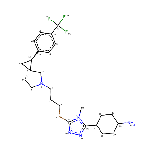 Cn1c(SCCCN2CC[C@@]3(C[C@H]3c3ccc(C(F)(F)F)cc3)C2)nnc1C1CCC(N)CC1